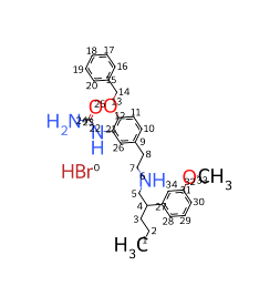 Br.CCCC(CNCCc1ccc(OCc2ccccc2)c(NC(N)=O)c1)c1cccc(OC)c1